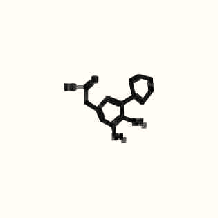 Nc1cc(CC(=O)O)cc(-c2ccccc2)c1N